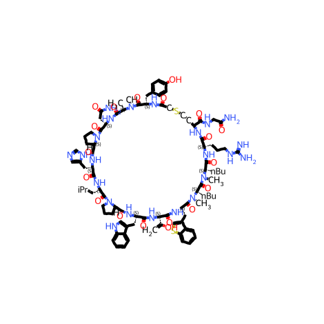 C=C(O)[C@@H]1NC(=O)[C@H](Cc2c[nH]c3ccccc23)NC(=O)[C@@H]2CCCN2C(=O)[C@H](CC(C)C)NC(=O)[C@H](Cc2cnc[nH]2)NC(=O)[C@@H]2CCCN2C(=O)[C@H](CC(N)=O)NC(=O)[C@H](C)N(C)C(=O)[C@H](Cc2ccc(O)cc2)NC(=O)CSCCC(C(=O)NCC(N)=O)NC(=O)[C@H](CCCNC(=N)N)NC(=O)[C@H](CCCC)N(C)C(=O)[C@H](CCCC)N(C)C(=O)[C@H](Cc2csc3ccccc23)NC1=O